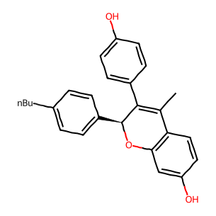 CCCCc1ccc([C@@H]2Oc3cc(O)ccc3C(C)=C2c2ccc(O)cc2)cc1